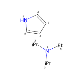 CCN(C(C)C)C(C)C.c1cc[nH]c1